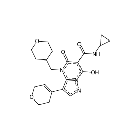 O=C(NC1CC1)c1c(O)n2ncc(C3=CCOCC3)c2n(CC2CCOCC2)c1=O